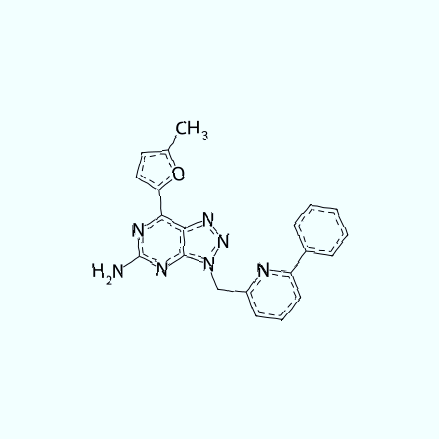 Cc1ccc(-c2nc(N)nc3c2nnn3Cc2cccc(-c3ccccc3)n2)o1